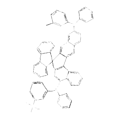 Cc1cccc(N(c2ccccc2)c2ccc3cc4c(cc3c2)C2(c3ccccc3-c3ccccc32)c2cc(N(c3ccccc3)c3cccc([Si](C)(C)C)c3)c3ccccc3c2-4)c1